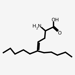 CCCCCC(=CCC(N)C(=O)O)CCCCC